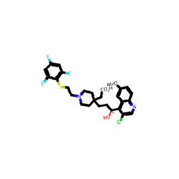 COc1ccc2ncc(Cl)c([C@@H](O)CCC3(CC(=O)O)CCN(CCSc4c(F)cc(F)cc4F)CC3)c2c1